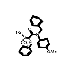 COc1ccc(N(Cc2ccccc2)C(=O)[C@H](Cc2ccccc2)N(C(=O)O)C(C)(C)C)cc1